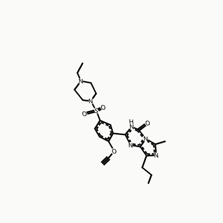 C#COc1ccc(S(=O)(=O)N2CCN(CC)CC2)cc1-c1nc2c(CCC)nc(C)n2c(=O)[nH]1